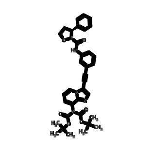 CC(C)(C)OC(=O)N(C(=O)OC(C)(C)C)c1cccn2c(C#Cc3cccc(NC(=O)N4OCC[C@H]4c4ccccc4)c3)cnc12